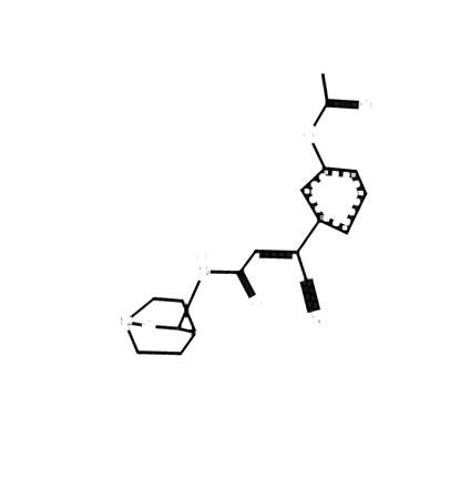 CC(=O)Oc1cccc(C(C#N)=CC(=O)NC2CN3CCC2CC3)c1